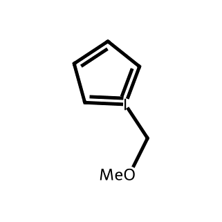 COCI1=CC=CC=1